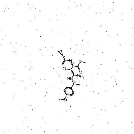 C=C(/N=C(C(=O)OC)\C(Cl)=C(/N)N[C@@H](C)c1ccc(OC)cc1)C1CC1